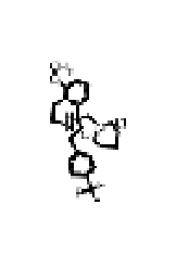 COc1cccc2c1CCNC2(CN1CCCCC1)C(=O)Cc1ccc(C(F)(F)F)cc1.Cl